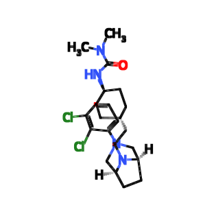 CN(C)C(=O)N[C@H]1CC[C@H](CCN2[C@@H]3CC[C@H]2CN(c2cccc(Cl)c2Cl)C3)CC1